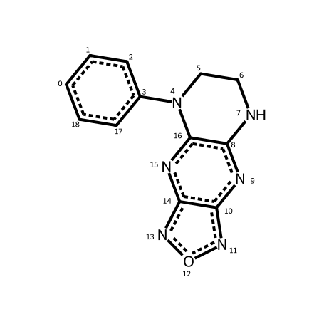 c1ccc(N2CCNc3nc4nonc4nc32)cc1